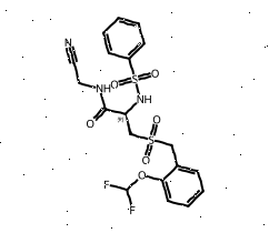 N#CCNC(=O)[C@H](CS(=O)(=O)Cc1ccccc1OC(F)F)NS(=O)(=O)c1ccccc1